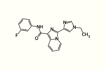 CCn1cnc(-c2nc(C(=O)Nc3cccc(F)c3)c3ccccn23)c1